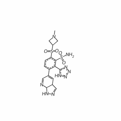 CN1CC(S(=O)(=O)c2ccc(C3=CC4C=NNC4N=C3)c(-c3nnn[nH]3)c2S(N)(=O)=O)C1